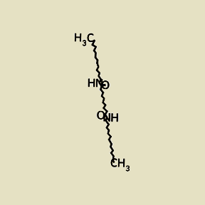 CCCCCCCCCCCCCCNC(=O)CCCCCCCCC(=O)NCCCCCCCCCCCCCC